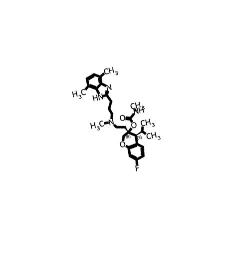 CNC(=O)O[C@@]1(CCN(C)CCCc2nc3c(C)ccc(C)c3[nH]2)COc2cc(F)ccc2[C@@H]1C(C)C